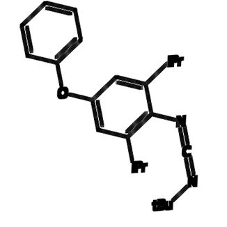 CC(C)c1cc(Oc2ccccc2)cc(C(C)C)c1N=C=NC(C)(C)C